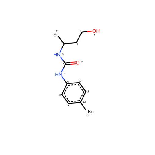 CCC(CCO)NC(=O)Nc1ccc(C(C)(C)C)cc1